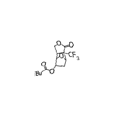 CCC(C)C(=O)OC1CC2OC1C1COC(=O)C21C(F)(F)F